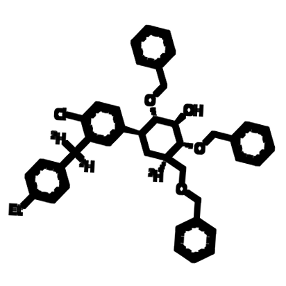 [2H]C([2H])(c1ccc(CC)cc1)c1cc([C@@H]2C[C@]([2H])(COCc3ccccc3)[C@@H](OCc3ccccc3)[C@H](O)[C@H]2OCc2ccccc2)ccc1Cl